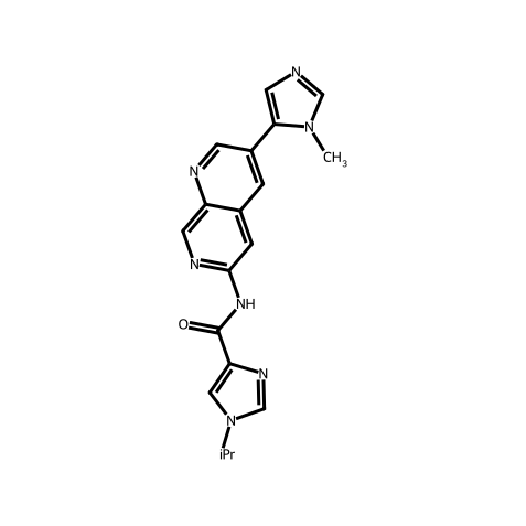 CC(C)n1cnc(C(=O)Nc2cc3cc(-c4cncn4C)cnc3cn2)c1